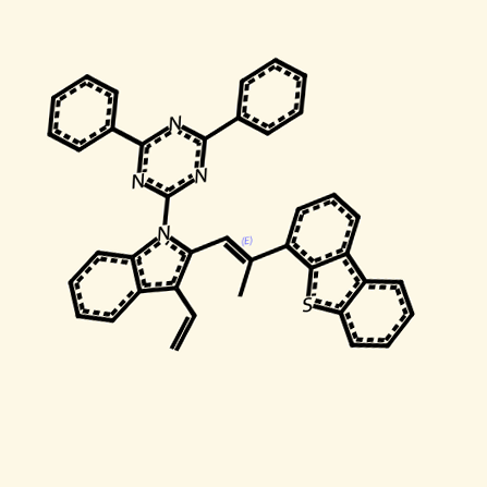 C=Cc1c(/C=C(\C)c2cccc3c2sc2ccccc23)n(-c2nc(-c3ccccc3)nc(-c3ccccc3)n2)c2ccccc12